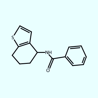 O=C(NC1CCCc2sccc21)c1ccccc1